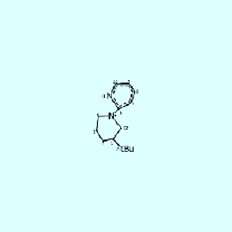 CC(C)(C)C1CCCN(c2ccccn2)C1